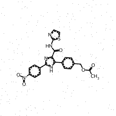 CC(=O)OCc1ccc(-c2[nH]c(-c3ccc([N+](=O)[O-])cc3)nc2C(=O)Nc2nccs2)cc1